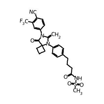 C=C1N(c2ccc(C#N)c(C(F)(F)F)c2)C(=O)C2(CCC2)N1c1ccc(CCCC(=O)NS(C)(=O)=O)cc1